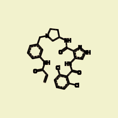 C=CC(=O)Nc1cccc(CN2CCC(NC(=O)c3n[nH]cc3NC(=O)c3c(Cl)cccc3Cl)C2)c1